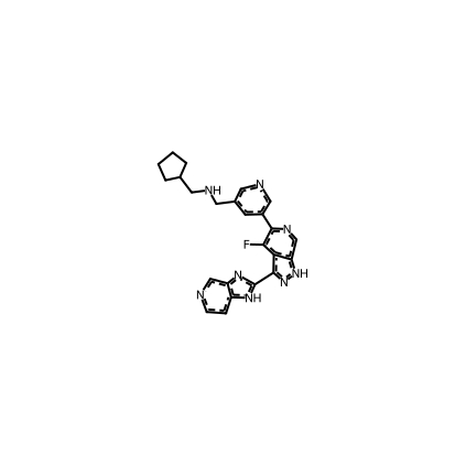 Fc1c(-c2cncc(CNCC3CCCC3)c2)ncc2[nH]nc(-c3nc4cnccc4[nH]3)c12